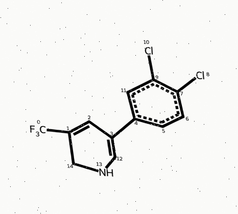 FC(F)(F)C1=CC(c2ccc(Cl)c(Cl)c2)=[C]NC1